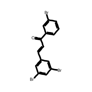 O=C(/C=C/c1cc(Br)cc(Br)c1)c1cccc(Br)c1